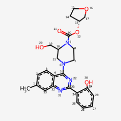 Cc1ccc2c(N3CCN(C(=O)O[C@@H]4CCOC4)C(CO)C3)nc(-c3ccccc3O)nc2c1